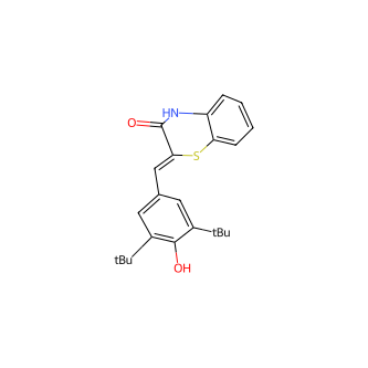 CC(C)(C)c1cc(/C=C2\Sc3ccccc3NC2=O)cc(C(C)(C)C)c1O